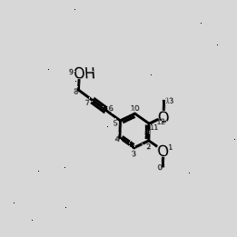 COc1ccc(C#CCO)cc1OC